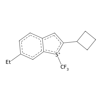 CCc1ccc2cc(C3CCC3)[s+](C(F)(F)F)c2c1